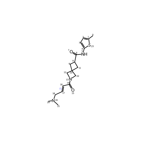 Cc1ccc(NC(=O)C2CC3(C2)CN(C(=O)/C=C/CN(C)C)C3)s1